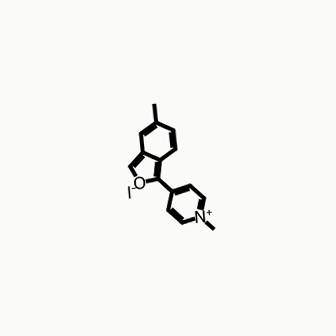 Cc1ccc2c(-c3cc[n+](C)cc3)occ2c1.[I-]